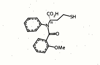 COc1ccccc1C(=O)N(c1ccccc1)[C@@H](CCS)C(=O)O